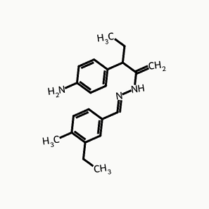 C=C(N/N=C/c1ccc(C)c(CC)c1)C(CC)c1ccc(N)cc1